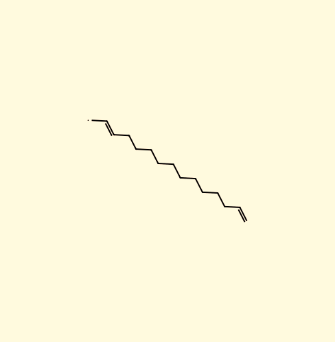 [CH2]C=CCCCCCCCCCCC=C